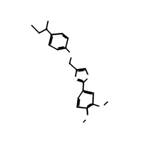 CCC(C)c1ccc(OCc2csc(-c3ccc(OC)c(OC)c3)n2)cc1